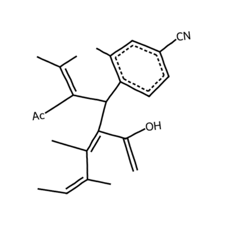 C=C(O)/C(=C(C)\C(C)=C/C)C(C(C(C)=O)=C(C)C)c1ccc(C#N)cc1C